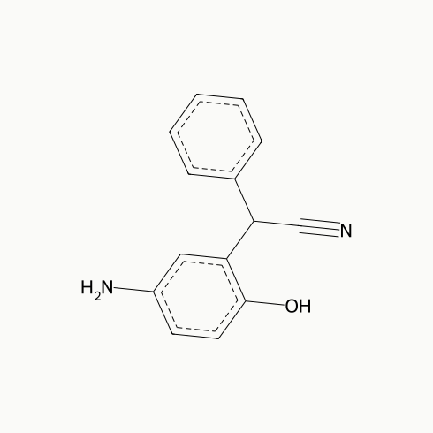 N#CC(c1ccccc1)c1cc(N)ccc1O